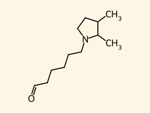 CC1CCN(CCCCCC=O)C1C